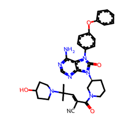 CC(C)(C=C(C#N)C(=O)N1CCC[C@H](n2c(=O)n(-c3ccc(Oc4ccccc4)cc3)c3c(N)ncnc32)C1)N1CCC(O)CC1